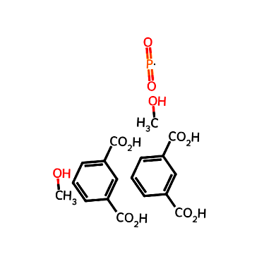 CO.CO.O=C(O)c1cccc(C(=O)O)c1.O=C(O)c1cccc(C(=O)O)c1.O=[P]=O